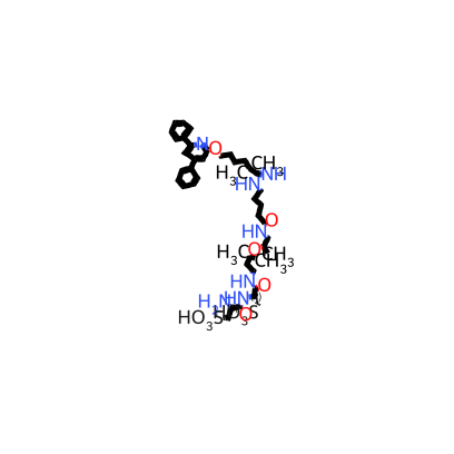 CC(CNC(=O)CCCCNC(=N)C(C)(C)CCCCOc1cc(-c2ccccc2)cc(-c2ccccc2)n1)OC(C)(C)CCNC(=O)[C@H](CS(=O)(=O)O)NC(=O)[C@@H](N)CS(=O)(=O)O